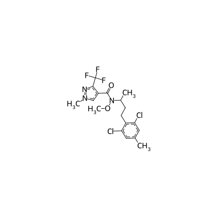 CON(C(=O)c1cn(C)nc1C(F)(F)F)C(C)CCc1c(Cl)cc(C)cc1Cl